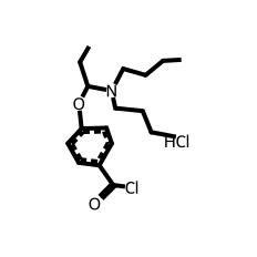 CCCCN(CCCC)C(CC)Oc1ccc(C(=O)Cl)cc1.Cl